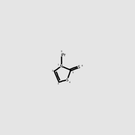 CC(C)n1ccsc1=S